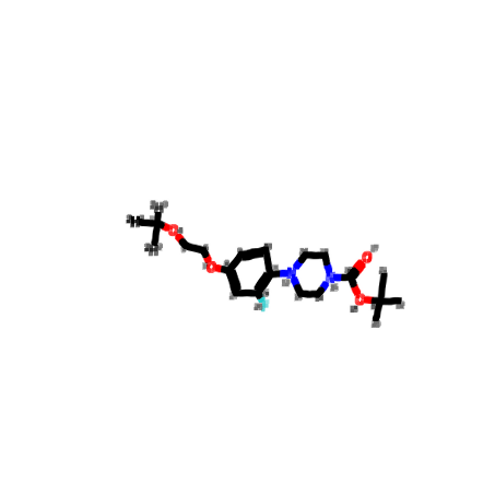 [2H]C([2H])([2H])OCCOc1ccc(N2CCN(C(=O)OC(C)(C)C)CC2)c(F)c1